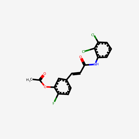 CC(=O)Oc1cc(/C=C/C(=O)Nc2cccc(Cl)c2Cl)ccc1F